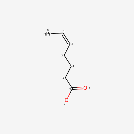 CCC/C=C\CCCC([O])=O